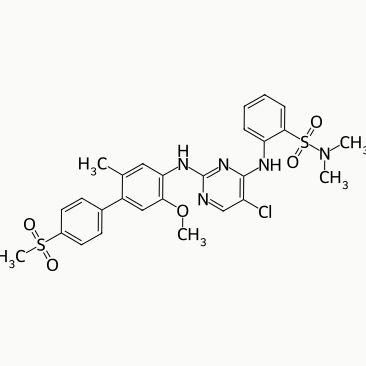 COc1cc(-c2ccc(S(C)(=O)=O)cc2)c(C)cc1Nc1ncc(Cl)c(Nc2ccccc2S(=O)(=O)N(C)C)n1